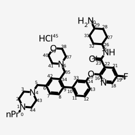 CCCN1CCN(Cc2ccc(-c3cccc(Oc4ncc(F)cc4C(=O)NC4CCC(N)CC4)c3)c(CN3CCOCC3)c2)CC1.Cl